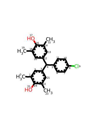 Cc1cc(C(c2ccc(Cl)cc2)c2cc(C)c(O)c(C)c2)cc(C)c1O